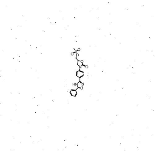 CS(=O)(=O)OCC1CN(c2ccc(C3=NOC(c4ccccc4)N3)cc2)C(=O)O1